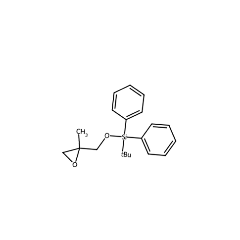 CC1(CO[Si](c2ccccc2)(c2ccccc2)C(C)(C)C)CO1